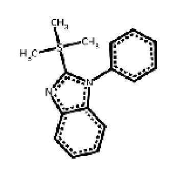 CS(C)(C)c1nc2ccccc2n1-c1ccccc1